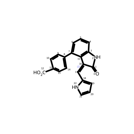 O=C1Nc2cccc(-c3ccc(C(=O)O)cc3)c2/C1=C/c1ccc[nH]1